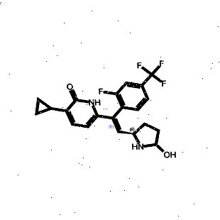 O=c1[nH]c(/C(=C/[C@H]2CCC(O)N2)c2ccc(C(F)(F)F)cc2F)ccc1C1CC1